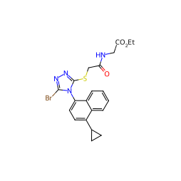 CCOC(=O)CNC(=O)CSc1nnc(Br)n1-c1ccc(C2CC2)c2ccccc12